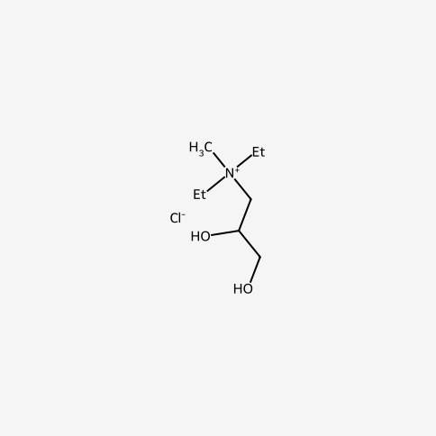 CC[N+](C)(CC)CC(O)CO.[Cl-]